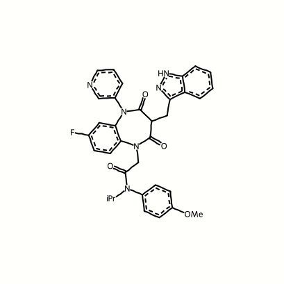 COc1ccc(N(C(=O)CN2C(=O)C(Cc3n[nH]c4ccccc34)C(=O)N(c3cccnc3)c3cc(F)ccc32)C(C)C)cc1